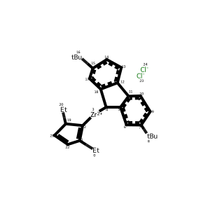 CCC1=[C]([Zr+2][CH]2c3cc(C(C)(C)C)ccc3-c3ccc(C(C)(C)C)cc32)C(CC)C=C1.[Cl-].[Cl-]